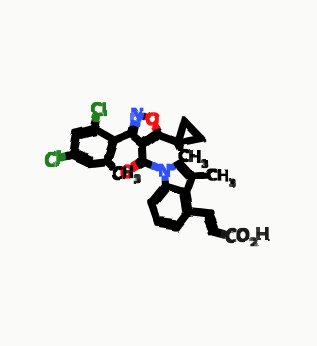 Cc1cc(Cl)cc(Cl)c1-c1noc(C2(C)CC2)c1C(=O)n1cc(C)c2c(/C=C/C(=O)O)cccc21